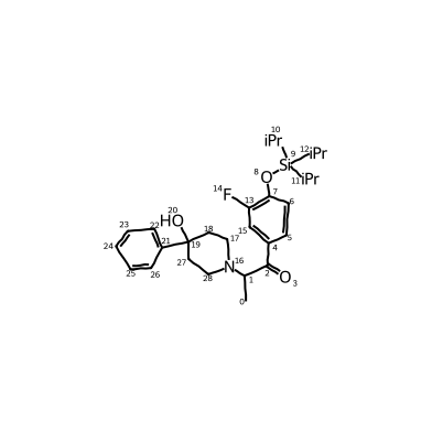 CC(C(=O)c1ccc(O[Si](C(C)C)(C(C)C)C(C)C)c(F)c1)N1CCC(O)(c2ccccc2)CC1